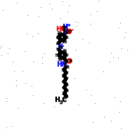 CCCCCCCCCCCCNC(=O)c1ccc(C[N]Cc2ccc([NH+]([O-])O)cc2)cc1